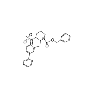 CS(=O)(=O)NC1CCCN(C(=O)OCc2ccccc2)C1Cc1cccc(-c2ccccc2)c1